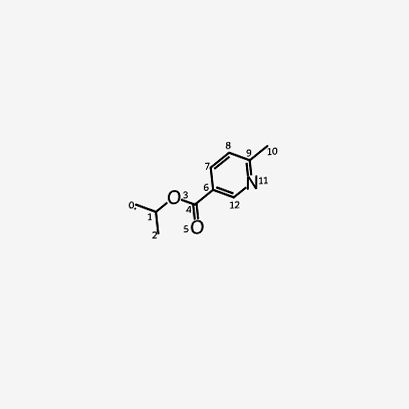 [CH2]C(C)OC(=O)c1ccc(C)nc1